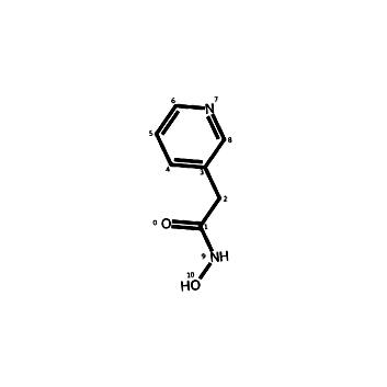 O=C(Cc1cccnc1)NO